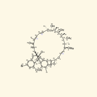 CO[C@H]1/C=C/O[C@@]2(C)Oc3c(C)c(O)c4c(=O)c(c5oc6cc(Br)cc(Cl)c6nc-5c4c3C2=O)NC(=O)/C(C)=C\C=C\[C@H](C)[C@H](O)[C@@H](C)[C@@H](O)[C@@H](C)[C@H](OC(C)=O)[C@@H]1C